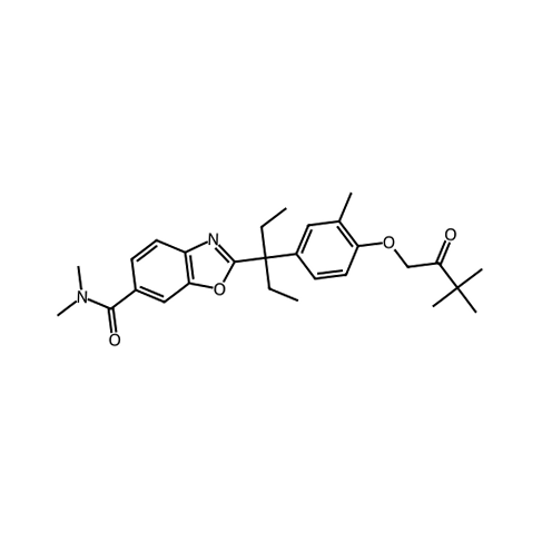 CCC(CC)(c1ccc(OCC(=O)C(C)(C)C)c(C)c1)c1nc2ccc(C(=O)N(C)C)cc2o1